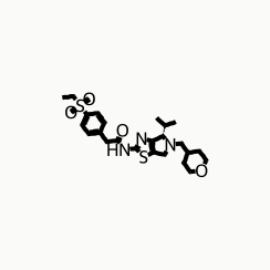 CCS(=O)(=O)c1ccc(CC(=O)Nc2nc3c(s2)CN(CC2CCOCC2)[C@H]3C(C)C)cc1